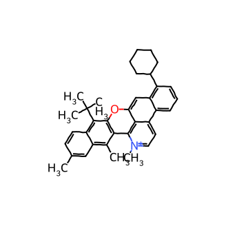 Cc1ccc2c(C(C)(C)C)c3c(c(C)c2c1)-c1c2c(cc4c(C5CCCCC5)cccc4c2cc[n+]1C)O3